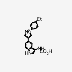 CCc1ccc(-n2cc(-c3ccc4[nH]cc(NC(=O)O)c4c3)cn2)cc1